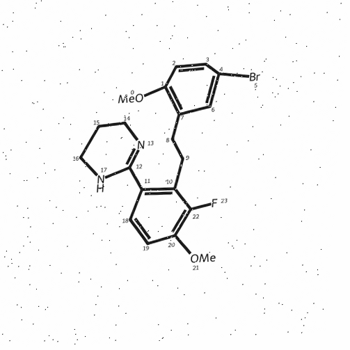 COc1ccc(Br)cc1CCc1c(C2=NCCCN2)ccc(OC)c1F